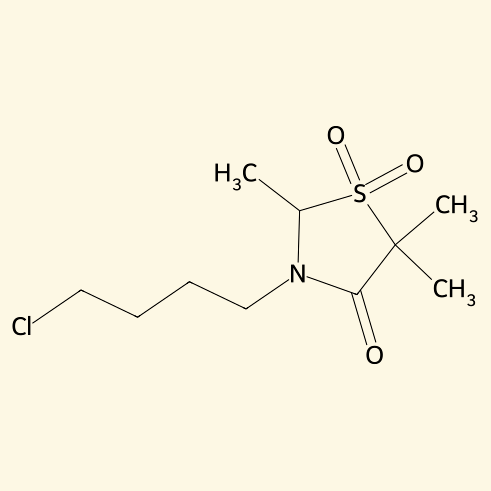 CC1N(CCCCCl)C(=O)C(C)(C)S1(=O)=O